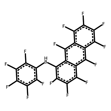 Fc1c(F)c(F)c(Bc2c(F)c(F)c(F)c3c(F)c4c(F)c(F)c(F)c(F)c4c(F)c23)c(F)c1F